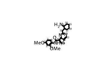 COc1ccc(NC(=O)c2csc3cnc(CC4CCCCC4N)nc23)c(OC)c1